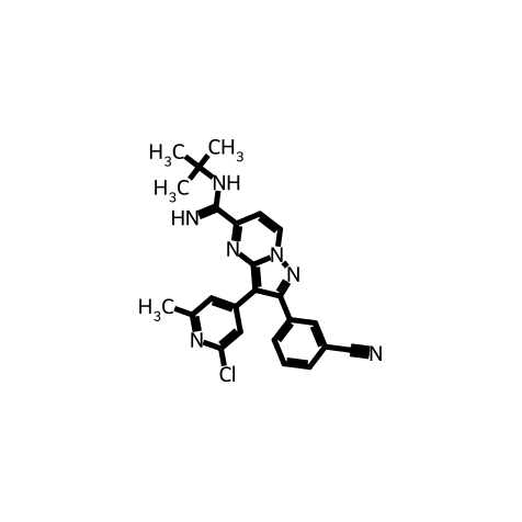 Cc1cc(-c2c(-c3cccc(C#N)c3)nn3ccc(C(=N)NC(C)(C)C)nc23)cc(Cl)n1